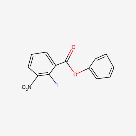 O=C(Oc1ccccc1)c1cccc([N+](=O)[O-])c1I